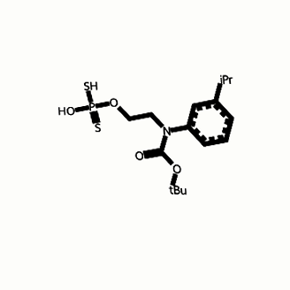 CC(C)c1cccc(N(CCOP(O)(=S)S)C(=O)OC(C)(C)C)c1